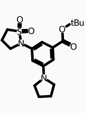 CC(C)(C)OC(=O)c1cc(N2CCCC2)cc(N2CCCS2(=O)=O)c1